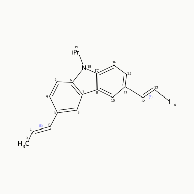 C/C=C/c1ccc2c(c1)c1cc(/C=C/I)ccc1n2C(C)C